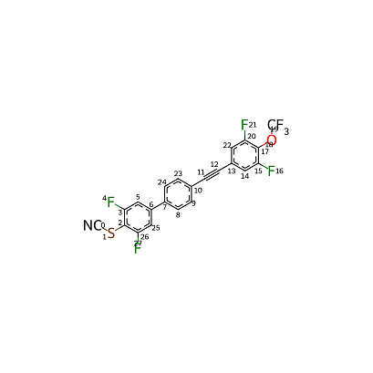 N#CSc1c(F)cc(-c2ccc(C#Cc3cc(F)c(OC(F)(F)F)c(F)c3)cc2)cc1F